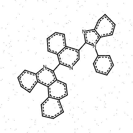 c1ccc(-n2c(-c3cnc(-c4nc5ccccc5c5c4ccc4ccccc45)c4ccccc34)nc3ccccc32)cc1